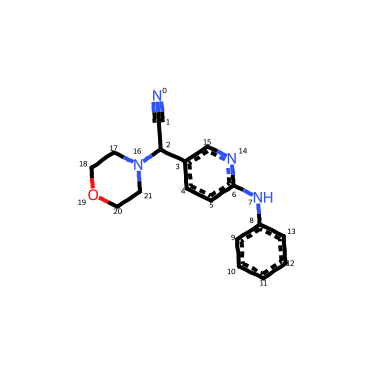 N#CC(c1ccc(Nc2ccccc2)nc1)N1CCOCC1